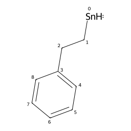 [SnH][CH2]Cc1ccccc1